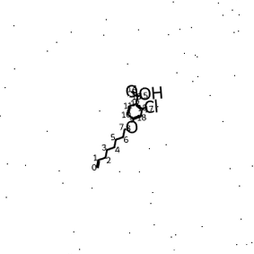 C=CCCCCCCOc1ccc(C(=O)O)c(Cl)c1